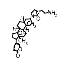 C[C@]12CC[C@H](N3CCN(CCN)C3=O)C[C@H]1CC[C@@H]1[C@@H]2CC[C@]2(C)[C@@H](c3ccc(=O)oc3)CC[C@]12O